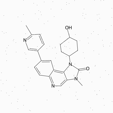 Cc1ccc(-c2ccc3ncc4c(c3c2)n(C2CCC(O)CC2)c(=O)n4C)cn1